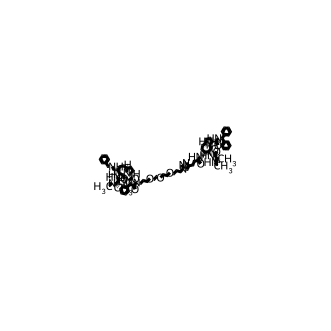 CN[C@@H](C)C(=O)N[C@@H]1C(=O)N2[C@@H](CC[C@@H]1CNC(=O)CCc1cn(CCCOCCOCCOCCCNC(=O)[C@@H](NC(=O)[C@@H]3CC[C@@H]4CC[C@H](CNCc5ccccc5)[C@H](NC(=O)[C@H](C)NC)C(=O)N43)c3ccccc3)nn1)CC[C@H]2C(=O)NC(c1ccccc1)c1ccccc1